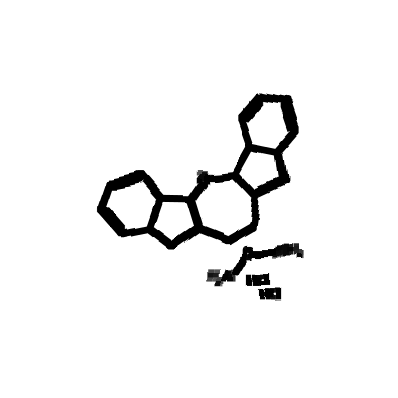 C1=CC2CC3CCC4CC5C=CC=CC5[CH]4[Zr][CH]3C2C=C1.Cl.Cl.[AlH2][O][AlH2]